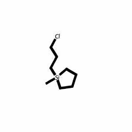 C[Si]1(CCCCl)CCCC1